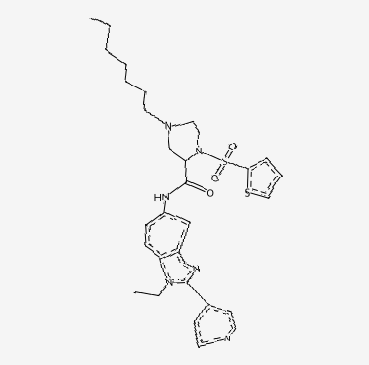 CCCCCCCN1CCN(S(=O)(=O)c2cccs2)C(C(=O)Nc2ccc3c(c2)nc(-c2ccncc2)n3CC)C1